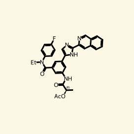 CCN(C(=O)c1cc(NC(=O)[C@@H](C)OC(C)=O)cc(-c2cnc(-c3cc4ccccc4cn3)[nH]2)c1)c1ccc(F)cc1